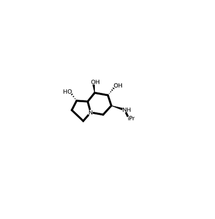 CC(C)N[C@H]1CN2CC[C@H](O)C2[C@@H](O)[C@@H]1O